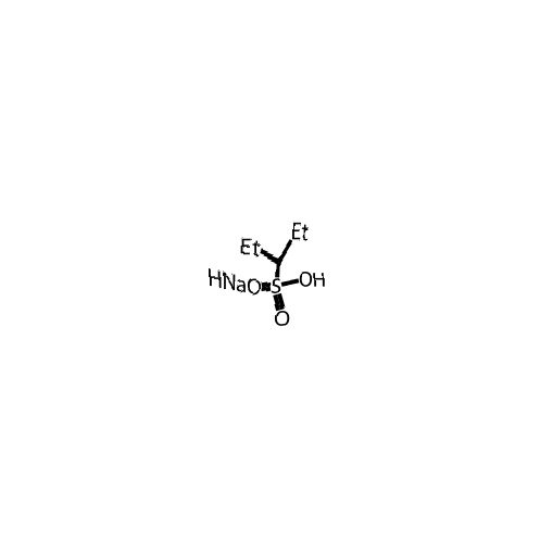 CCC(CC)S(=O)(=O)O.[NaH]